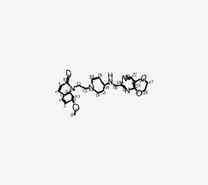 COc1ccc2ccc(=O)n(CCN3CCC(NCc4ncc5c(n4)OCCO5)CC3)c2c1